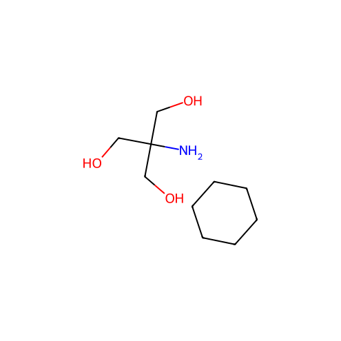 C1CCCCC1.NC(CO)(CO)CO